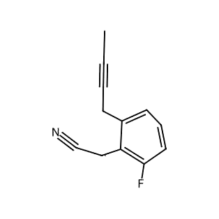 CC#CCc1cccc(F)c1[CH]C#N